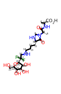 C[C@H](NC(=O)[C@H](C)N1CN[C@@H](CCCCNCC(F)(F)[C@@H]2O[C@H](CO)[C@H](O)[C@H](O)[C@H]2O)C1=O)C(=O)O